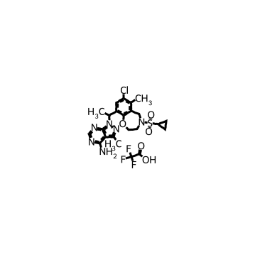 Cc1c(Cl)cc(C(C)n2nc(C)c3c(N)ncnc32)c2c1CN(S(=O)(=O)C1CC1)CCO2.O=C(O)C(F)(F)F